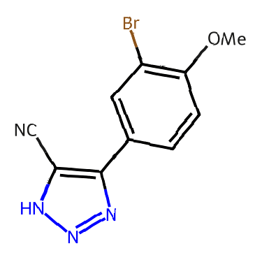 COc1ccc(-c2nn[nH]c2C#N)cc1Br